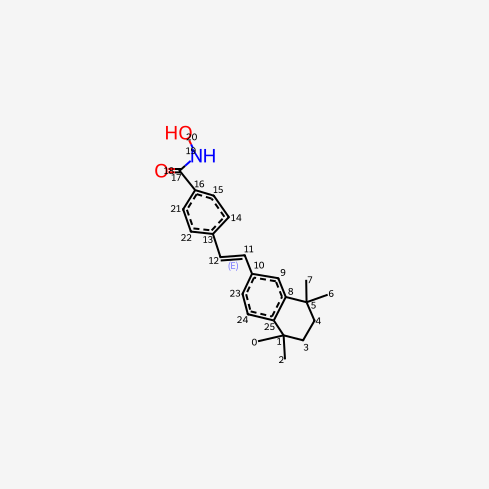 CC1(C)CCC(C)(C)c2cc(/C=C/c3ccc(C(=O)NO)cc3)ccc21